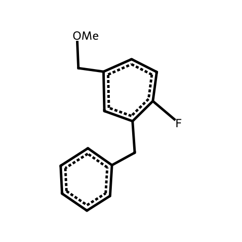 COCc1ccc(F)c(Cc2ccccc2)c1